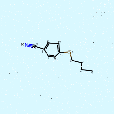 CCCCSc1ccc(C#N)cc1